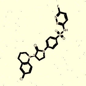 O=C1[C@H](N2CCCc3cc(Cl)ccc32)CCN1c1ccc(S(=O)(=O)Nc2ccc(F)nn2)cc1